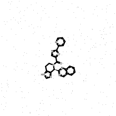 O=C(c1cnc(-c2ccccn2)o1)N1CCc2[nH]cnc2[C@@H]1c1ncc2ccccc2n1